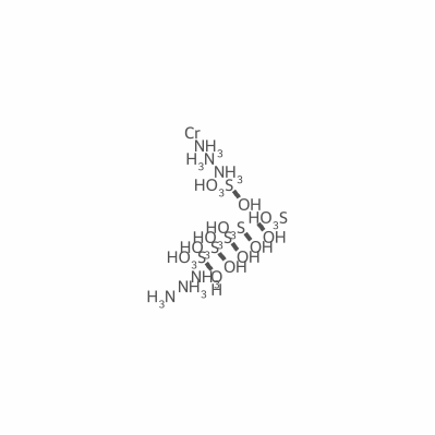 N.N.N.N.N.N.O=S(=O)(O)O.O=S(=O)(O)O.O=S(=O)(O)O.O=S(=O)(O)O.O=S(=O)(O)O.O=S(=O)(O)O.[Cr]